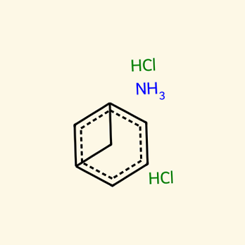 Cl.Cl.N.c1cc2cc(c1)C2